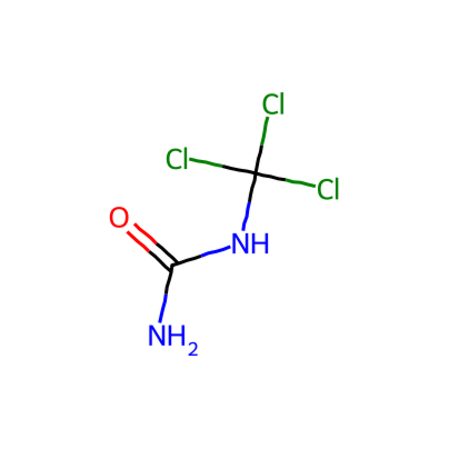 NC(=O)NC(Cl)(Cl)Cl